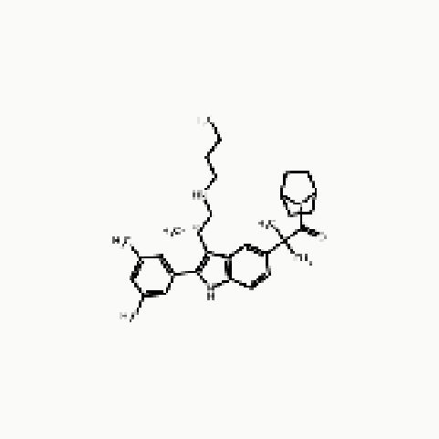 CCCCNC[C@@H](C)c1c(-c2cc(C)cc(C)c2)[nH]c2ccc(C(C)(C)C(=O)N3C4CCC3CC4)cc12